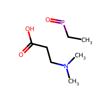 CCP=O.CN(C)CCC(=O)O